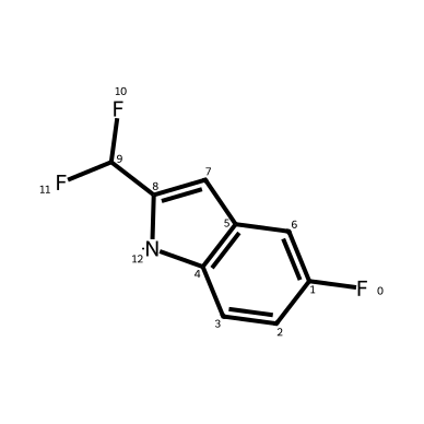 Fc1ccc2c(c1)C=C(C(F)F)[N]2